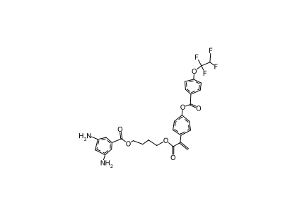 C=C(C(=O)OCCCCOC(=O)c1cc(N)cc(N)c1)c1ccc(OC(=O)c2ccc(OC(F)(F)C(F)F)cc2)cc1